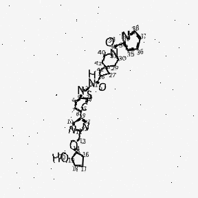 O=C(Nc1nc2ccc(-c3cnc(CO[C@H]4CCC[C@@H]4O)nc3)cc2s1)C1CC2(CCN(C(=O)c3ccccn3)CC2)C1